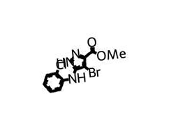 COC(=O)c1n[nH]c(Nc2ccccc2Cl)c1Br